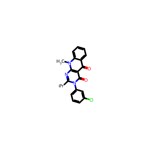 CC(C)c1nc2c(c(=O)c3ccccc3n2C)c(=O)n1-c1cccc(Cl)c1